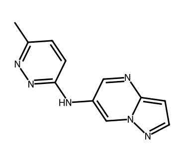 Cc1ccc(Nc2cnc3ccnn3c2)nn1